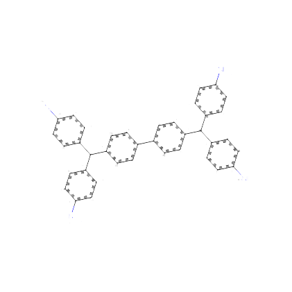 Nc1ccc(C(c2ccc(N)cc2)c2ccc(-c3ccc(C(c4ccc(N)cc4)c4ccc(N)cc4)cc3)cc2)cc1